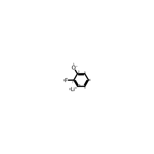 [Li+].[O-]c1ccccc1F